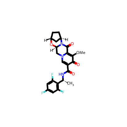 COc1c2n(cc(C(=O)N[C@H](C)c3c(F)cc(F)cc3F)c1=O)C[C@H]1O[C@@H]3CC[C@H](C3)N1C2=O